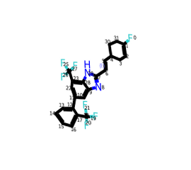 FC1=CCC(/C=C/c2nc3cc(-c4ccccc4C(F)(F)F)cc(C(F)(F)F)c3[nH]2)CC1